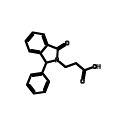 O=C(O)CCN1C(=O)c2ccccc2C1c1ccccc1